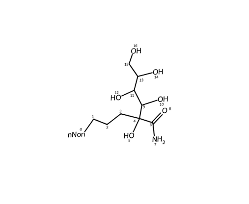 CCCCCCCCCCCCC(O)(C(N)=O)C(O)C(O)C(O)CO